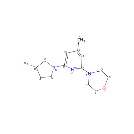 Cc1cc(N2CCOCC2)nc(N2CCC(F)C2)c1